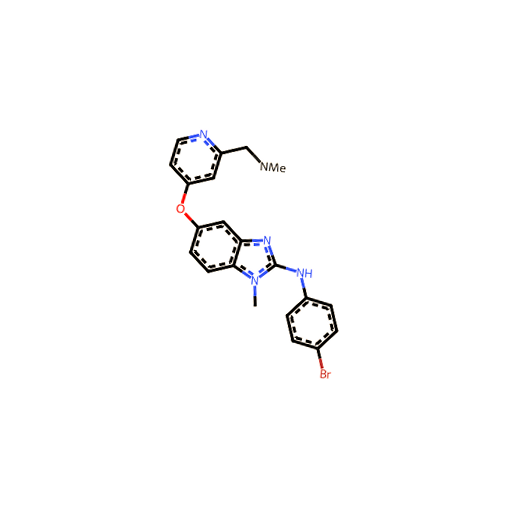 CNCc1cc(Oc2ccc3c(c2)nc(Nc2ccc(Br)cc2)n3C)ccn1